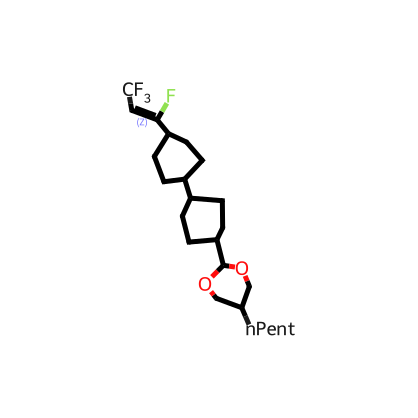 CCCCCC1COC(C2CCC(C3CCC(/C(F)=C/C(F)(F)F)CC3)CC2)OC1